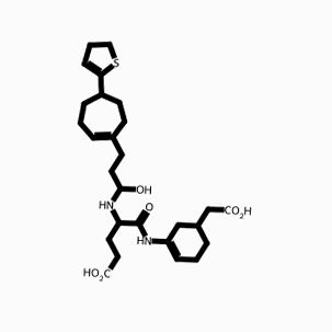 O=C(O)CCC(NC(O)CCC1=CCCC(C2=CCCS2)CC1)C(=O)NC1=CCCC(CC(=O)O)C1